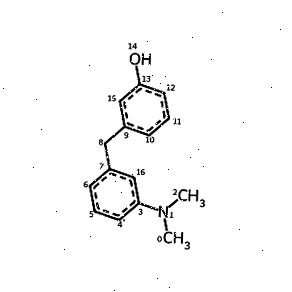 CN(C)c1[c]ccc(Cc2cccc(O)c2)c1